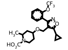 CC1CC(OCc2c(-c3ccccc3OC(F)(F)F)noc2C2CC2)CCN1C(=O)O